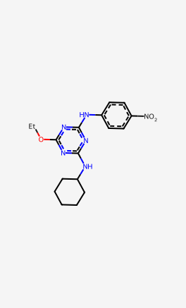 CCOc1nc(Nc2ccc([N+](=O)[O-])cc2)nc(NC2CCCCC2)n1